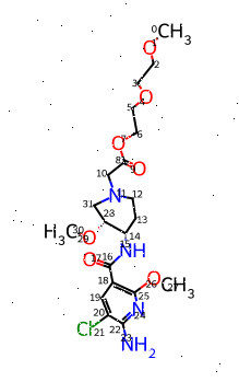 COCCOCCOC(=O)CN1CC[C@H](NC(=O)c2cc(Cl)c(N)nc2OC)[C@H](OC)C1